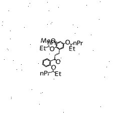 CCCC(CC)Oc1cc(CCC(=O)c2ccccc2OC(CC)CCC)c(OC(CC)CCC)c(OC)c1